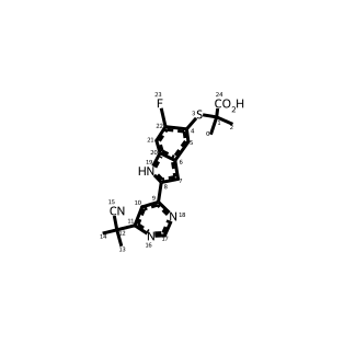 CC(C)(Sc1cc2cc(-c3cc(C(C)(C)C#N)ncn3)[nH]c2cc1F)C(=O)O